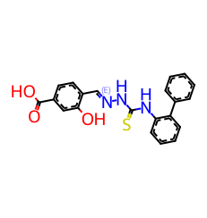 O=C(O)c1ccc(/C=N/NC(=S)Nc2ccccc2-c2ccccc2)c(O)c1